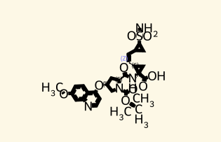 COc1ccc2c(O[C@@H]3C[C@@H](C(=O)N[C@]4(C(=O)O)C[C@H]4/C=C\C4CC4S(N)(=O)=O)N(C(=O)OC(C)(C)C)C3)ccnc2c1